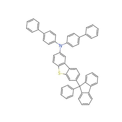 c1ccc(-c2ccc(N(c3ccc(-c4ccccc4)cc3)c3ccc4sc5cc(C6(c7ccccc7)c7ccccc7-c7ccccc76)ccc5c4c3)cc2)cc1